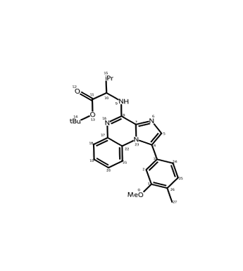 COc1cc(-c2cnc3c(NC(C(=O)OC(C)(C)C)C(C)C)nc4ccccc4n23)ccc1C